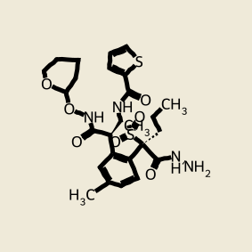 CCC[C@](C(=O)NN)(c1ccc(C)cc1[C@H](CNC(=O)c1cccs1)C(=O)NOC1CCCCO1)S(C)(=O)=O